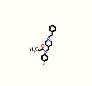 CCC(=O)N(CC1CCN(CCc2ccccc2)CC1)c1ccc(F)cc1